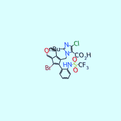 CCCCc1nc(Cl)c(C(=O)O)n1Cc1c2ccocc-2c(Br)c1-c1ccccc1NS(=O)(=O)C(F)(F)F